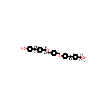 CCC(C)(O)c1ccc(C(C)(C)c2ccc(OCc3ccc(COC(C)(CC)c4ccc(C(C)(C)c5ccc(O)cc5)cc4)cc3)cc2)cc1